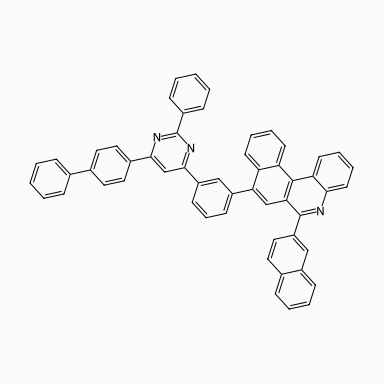 c1ccc(-c2ccc(-c3cc(-c4cccc(-c5cc6c(-c7ccc8ccccc8c7)nc7ccccc7c6c6ccccc56)c4)nc(-c4ccccc4)n3)cc2)cc1